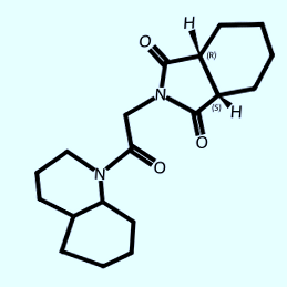 O=C1[C@H]2CCCC[C@H]2C(=O)N1CC(=O)N1CCCC2CCCCC21